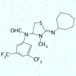 CN1C(=NC2CCCCCC2)SCC1N(C=O)c1cc(C(F)(F)F)cc(C(F)(F)F)c1